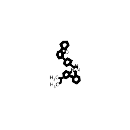 CCC(C)c1ccc2c(c1)c1ccccc1c1nnc(-c3ccc(-c4cccc5c4oc4ccccc45)cc3)n21